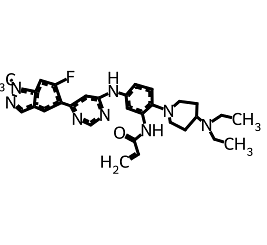 C=CC(=O)Nc1cc(Nc2cc(-c3cc4cnn(C)c4cc3F)ncn2)ccc1N1CCC(N(CC)CC)CC1